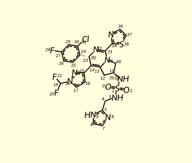 O=S(=O)(NCc1ncc[nH]1)N[C@H]1CC2=C(c3ccn(C(F)F)n3)[C@H](c3ccc(F)cc3Cl)N=C(c3nccs3)N2C1